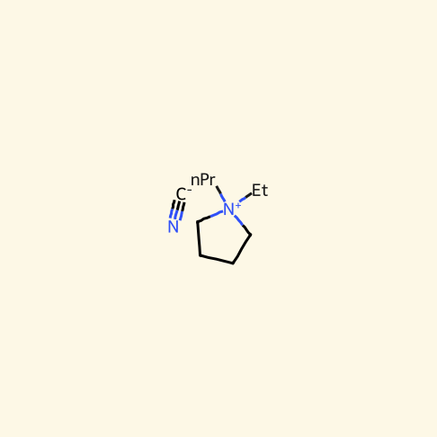 CCC[N+]1(CC)CCCC1.[C-]#N